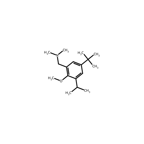 COc1c(CN(C)C)cc(C(C)(C)C)cc1C(C)C